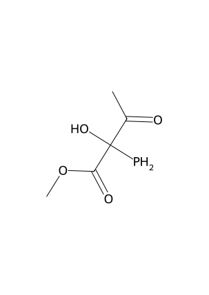 COC(=O)C(O)(P)C(C)=O